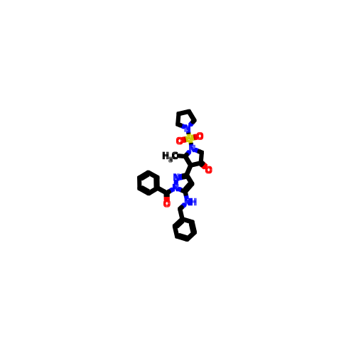 CC1C(c2cc(NCc3ccccc3)n(C(=O)c3ccccc3)n2)C(=O)CN1S(=O)(=O)N1CCCC1